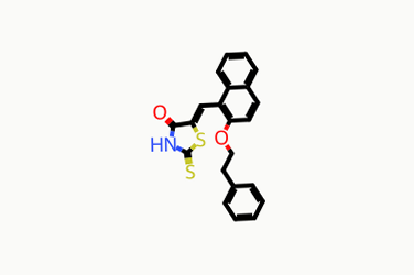 O=C1NC(=S)SC1=Cc1c(OCCc2ccccc2)ccc2ccccc12